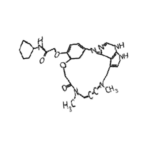 CN1CCCN(C)C(=O)COC2CC(=CC=C2OCC(=O)NC2CCCCC2)/N=C2\N=CNc3[nH]cc(c32)C1